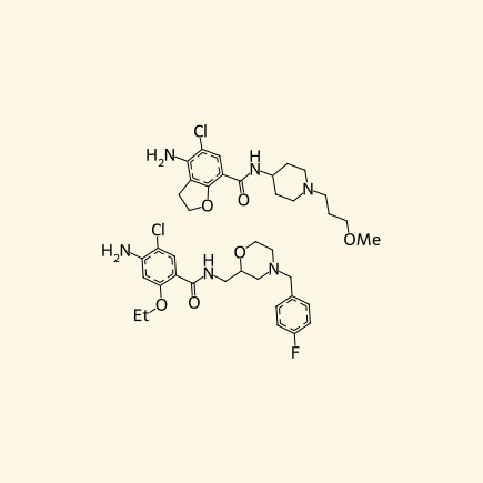 CCOc1cc(N)c(Cl)cc1C(=O)NCC1CN(Cc2ccc(F)cc2)CCO1.COCCCN1CCC(NC(=O)c2cc(Cl)c(N)c3c2OCC3)CC1